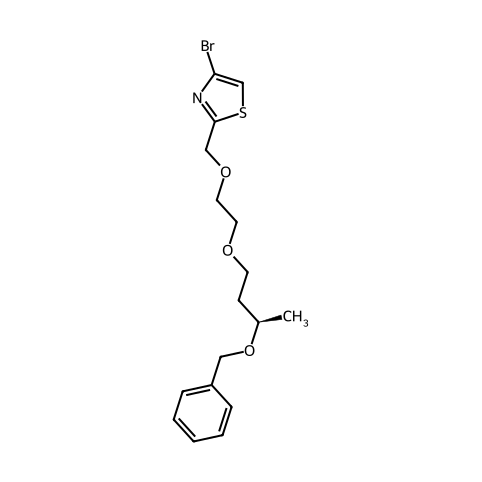 C[C@H](CCOCCOCc1nc(Br)cs1)OCc1ccccc1